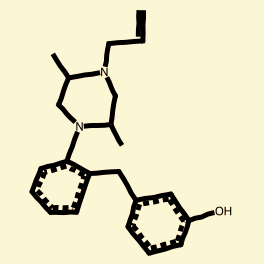 C=CCN1CC(C)N(c2ccccc2Cc2cccc(O)c2)CC1C